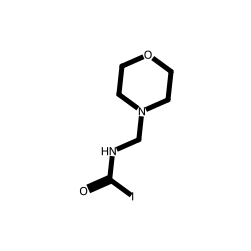 O=C(I)NCN1CCOCC1